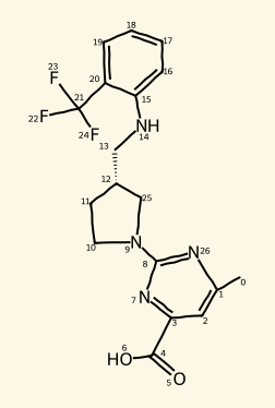 Cc1cc(C(=O)O)nc(N2CC[C@H](CNc3ccccc3C(F)(F)F)C2)n1